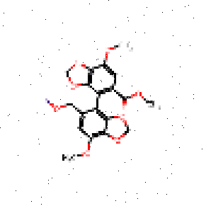 COC(=O)c1cc(OC)c2c(c1-c1c(COI)cc(OC)c3c1OCO3)OCO2